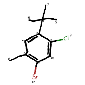 Cc1cc(C(C)(C)C)c(Cl)cc1Br